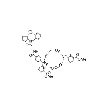 COC(=O)c1cccc(CN2CCOCCOCCN(C(c3ccc(C(=O)NCCC(=O)N4Cc5ccccc5C5=C(CC5)c5ccccc54)cc3)c3cccc(C(=O)OC)n3)CCOCCOCC2)n1